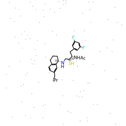 CC(=O)N[C@@H](Cc1cc(F)cc(F)c1)[C@H](S)CN[C@H]1CCCc2ccc(CC(C)C)cc21